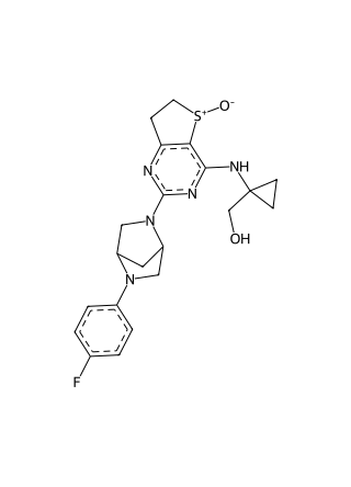 [O-][S+]1CCc2nc(N3CC4CC3CN4c3ccc(F)cc3)nc(NC3(CO)CC3)c21